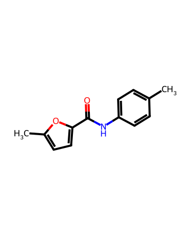 Cc1ccc(NC(=O)c2ccc(C)o2)cc1